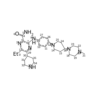 CCc1nc(C(N)=O)c(Nc2ccc(N3CCC(N4CCN(C)CC4)CC3)cc2)nc1C1CCNCC1